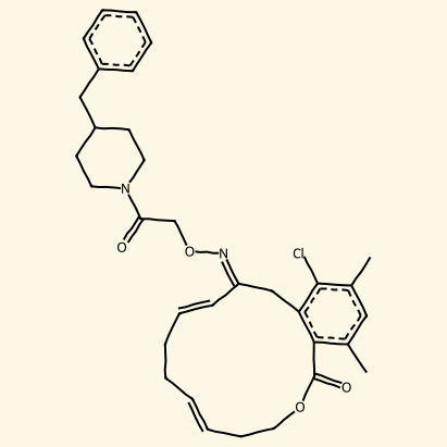 Cc1cc(C)c2c(c1Cl)CC(=N/OCC(=O)N1CCC(Cc3ccccc3)CC1)/C=C/CC/C=C/CCOC2=O